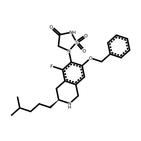 CC(C)CCC[C@H]1Cc2c(cc(OCc3ccccc3)c(N3CC(=O)NS3(=O)=O)c2F)CN1